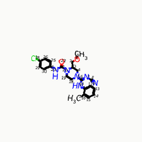 COCC1CN(C(=NC#N)Nc2ccccc2C)CCN1C(=O)Nc1ccc(Cl)cc1